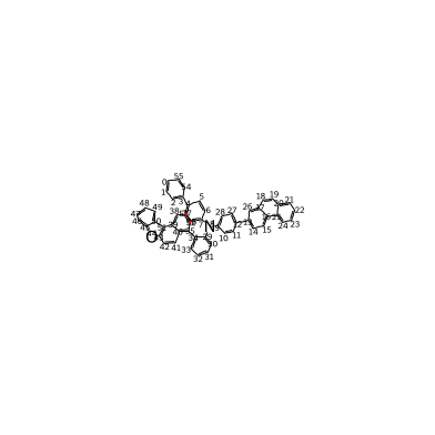 c1ccc(-c2ccc(N(c3ccc(-c4ccc5c(ccc6ccccc65)c4)cc3)c3ccccc3-c3cccc4c3ccc3oc5ccccc5c34)cc2)cc1